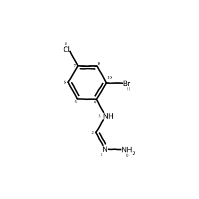 N/N=C\Nc1ccc(Cl)cc1Br